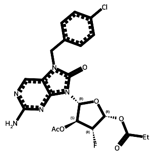 CCC(=O)O[C@H]1O[C@@H](n2c(=O)n(Cc3ccc(Cl)cc3)c3cnc(N)nc32)[C@H](OC(C)=O)[C@H]1F